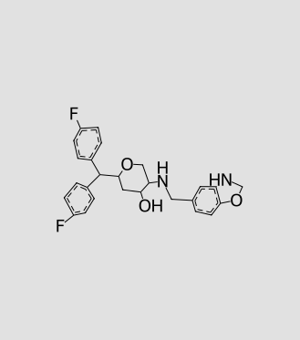 OC1CC(C(c2ccc(F)cc2)c2ccc(F)cc2)OCC1NCc1ccc2c(c1)NCO2